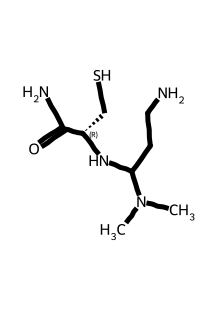 CN(C)C(CCN)N[C@@H](CS)C(N)=O